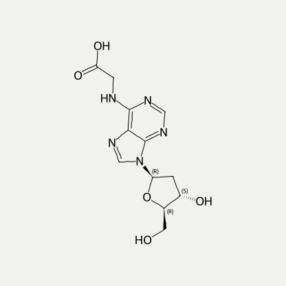 O=C(O)CNc1ncnc2c1ncn2[C@H]1C[C@H](O)[C@@H](CO)O1